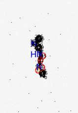 Cc1ccc(S(=O)(=O)N(C)CCOCC(=O)NCC2CCC(C(c3ccccc3)N(C)C)CC2)cc1